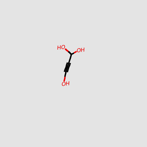 OC#CC(O)O